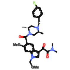 COCn1cc(C(=O)C(=O)N(C)C)c2cc(C(=O)N3C[C@H](C)N(Cc4ccc(F)cc4)C[C@H]3C)c(OC)cc21